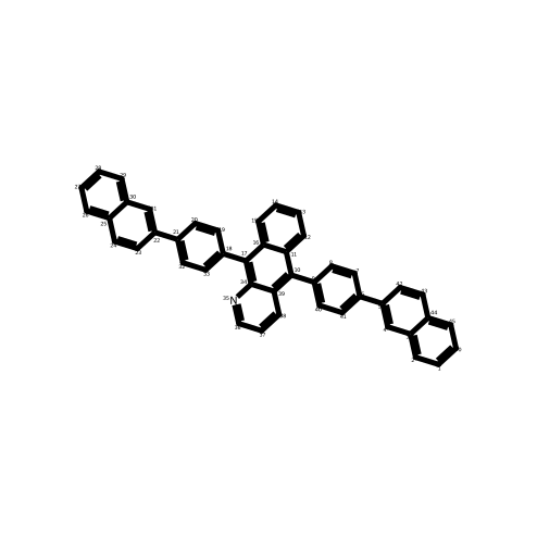 c1ccc2cc(-c3ccc(-c4c5ccccc5c(-c5ccc(-c6ccc7ccccc7c6)cc5)c5ncccc45)cc3)ccc2c1